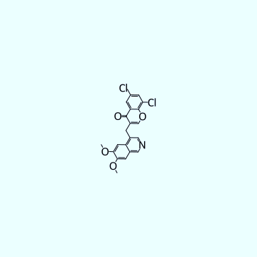 COc1cc2cncc(Cc3coc4c(Cl)cc(Cl)cc4c3=O)c2cc1OC